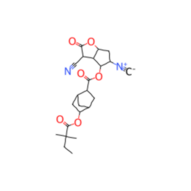 [C-]#[N+]C1CC2OC(=O)C(C#N)C2C1OC(=O)C1CC2CC1CC2OC(=O)C(C)(C)CC